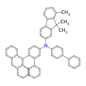 Cc1cccc2c1C(C)(C)c1cc(N(c3ccc(-c4ccccc4)cc3)c3ccc(-c4c5ccccc5cc5ccccc45)c(-c4ccccc4)c3)ccc1-2